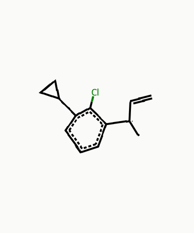 C=C[C](C)c1cccc(C2CC2)c1Cl